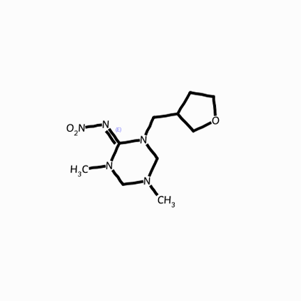 CN1CN(C)/C(=N\[N+](=O)[O-])N(CC2CCOC2)C1